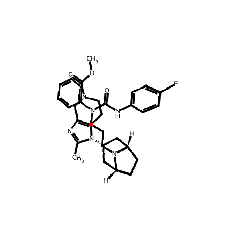 COC(=O)N1CCc2c(nc(C)n2[C@H]2C[C@H]3CC[C@@H](C2)N3CCCN(C(=O)Nc2ccc(F)cc2)c2ccccc2)C1